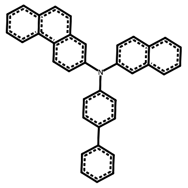 c1ccc(-c2ccc(N(c3ccc4ccccc4c3)c3ccc4c(ccc5ccccc54)c3)cc2)cc1